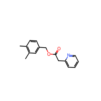 Cc1ccc(COC(=O)Cc2ccccn2)cc1C